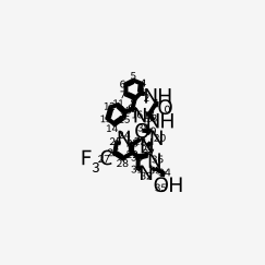 O=C1Nc2ccccc2C(c2ccccc2)=NC1Nc1nnc(-c2ncc(C(F)(F)F)cc2-c2cnc(CO)nc2)o1